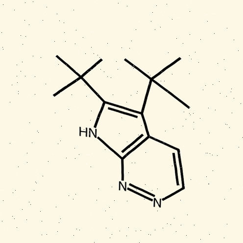 CC(C)(C)c1[nH]c2nnccc2c1C(C)(C)C